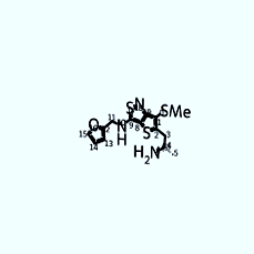 CSc1c(C[C@H](C)N)sc2c(NCc3ccco3)snc12